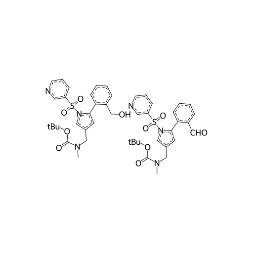 CN(Cc1cc(-c2ccccc2C=O)n(S(=O)(=O)c2cccnc2)c1)C(=O)OC(C)(C)C.CN(Cc1cc(-c2ccccc2CO)n(S(=O)(=O)c2cccnc2)c1)C(=O)OC(C)(C)C